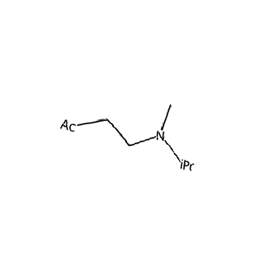 CC(=O)CCN(C)C(C)C